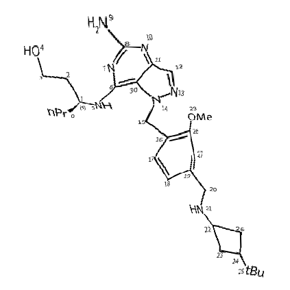 CCC[C@@H](CCO)Nc1nc(N)nc2cnn(Cc3ccc(CNC4CC(C(C)(C)C)C4)cc3OC)c12